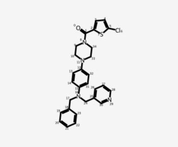 O=C(c1ccc(Cl)s1)N1CCN(c2ccc(N(Cc3ccccc3)Cc3cccnc3)cc2)CC1